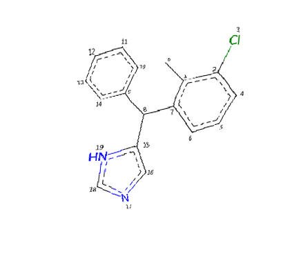 Cc1c(Cl)cccc1C(c1ccccc1)c1cnc[nH]1